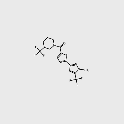 Cn1nc(-c2ccc(C(=O)N3CCCC(C(F)(F)F)C3)s2)cc1C(F)(F)F